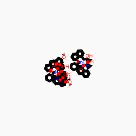 COc1cccc(C(O)(c2cccc(OC)c2)[C@H](c2cccc3ccccc23)N(C(=O)C2(C(N)=O)CCCCC2)[C@@H](c2cccc3ccccc23)C(O)(c2cccc(OC)c2)c2cccc(OC)c2)c1.NC(=O)C1(C(=O)N(C(c2cccc3ccccc23)C2(O)CC2)C(c2cccc3ccccc23)C2(O)CC2)CCCCC1